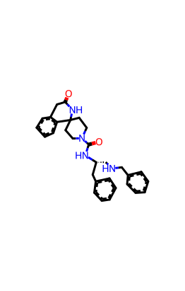 O=C1Cc2ccccc2C2(CCN(C(=O)N[C@H](CNCc3ccccc3)Cc3ccccc3)CC2)N1